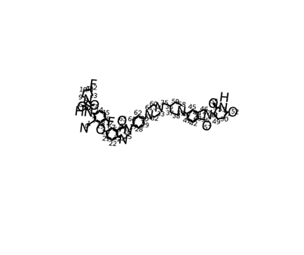 N#Cc1c(NS(=O)(=O)N2CC[C@@H](F)C2)ccc(F)c1Oc1ccc2ncn(-c3ccc(N4CCN(CC5CCN(c6ccc7c(c6)CN([C@H]6CCC(=O)NC6=O)C7=O)CC5)CC4)cc3)c(=O)c2c1